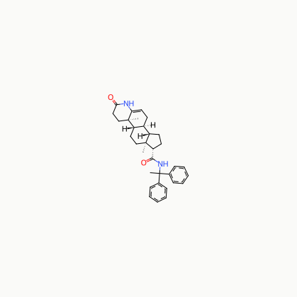 CC(NC(=O)[C@H]1CC[C@H]2[C@@H]3CC=C4NC(=O)CC[C@]4(C)[C@H]3CC[C@]12C)(c1ccccc1)c1ccccc1